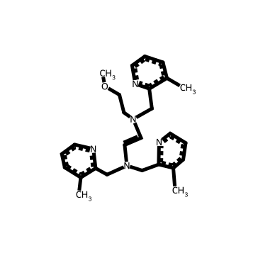 COCCN(C=CN(Cc1ncccc1C)Cc1ncccc1C)Cc1ncccc1C